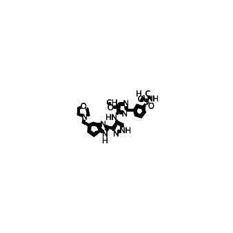 CNS(=O)(=O)c1cccc(-c2ncc(OC)c(Nc3c[nH]nc3-c3nc4cc(CN5CCOCC5)ccc4[nH]3)n2)c1